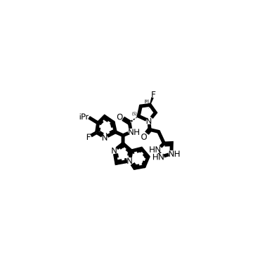 CC(C)c1ccc(C(NC(=O)[C@@H]2C[C@@H](F)CN2C(=O)CC2=CNNN2)c2ncn3ccccc23)nc1F